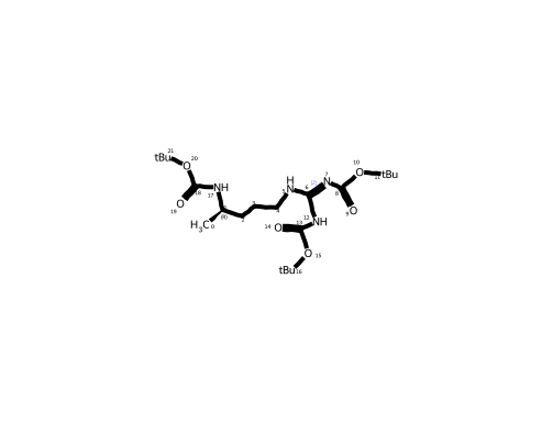 C[C@H](CCCN/C(=N/C(=O)OC(C)(C)C)NC(=O)OC(C)(C)C)NC(=O)OC(C)(C)C